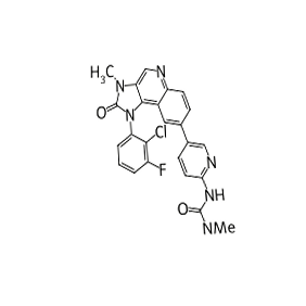 CNC(=O)Nc1ccc(-c2ccc3ncc4c(c3c2)n(-c2cccc(F)c2Cl)c(=O)n4C)cn1